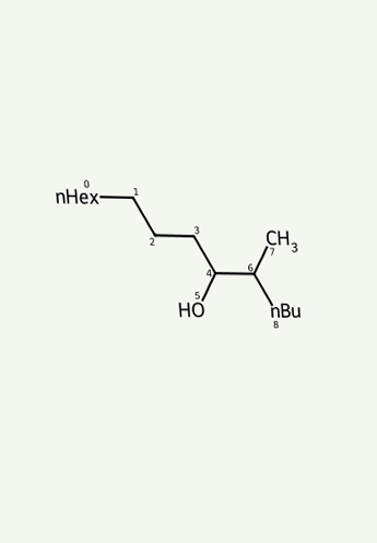 CCCCCCCCCC(O)C(C)CCCC